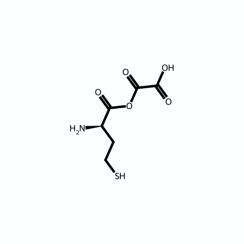 N[C@H](CCS)C(=O)OC(=O)C(=O)O